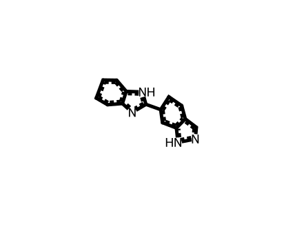 c1ccc2[nH]c(-c3ccc4cn[nH]c4c3)nc2c1